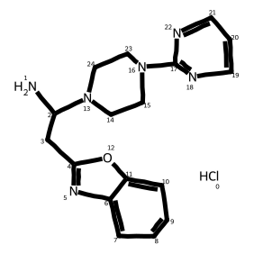 Cl.NC(Cc1nc2ccccc2o1)N1CCN(c2ncccn2)CC1